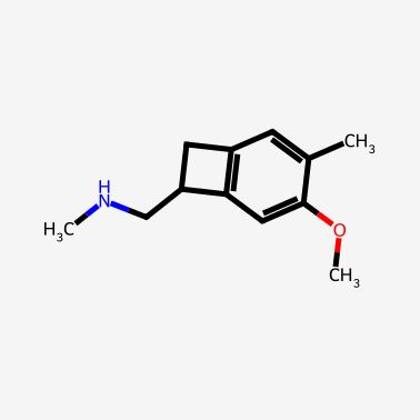 CNCC1Cc2cc(C)c(OC)cc21